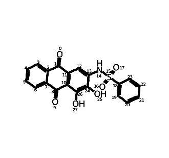 O=C1c2ccccc2C(=O)c2c1cc(NS(=O)(=O)c1ccccc1)c(O)c2O